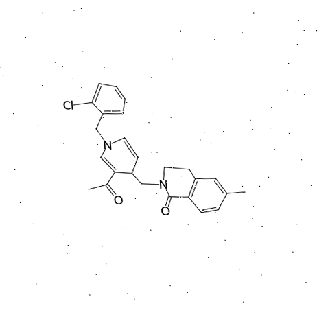 CC(=O)C1=CN(Cc2ccccc2Cl)C=CC1CN1CCc2cc(C)ccc2C1=O